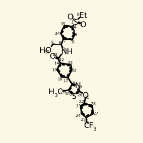 CCS(=O)(=O)c1ccc([C@H](CO)NC(=O)c2ccc(-c3nc(Oc4ccc(C(F)(F)F)cc4)sc3C)cc2)cc1